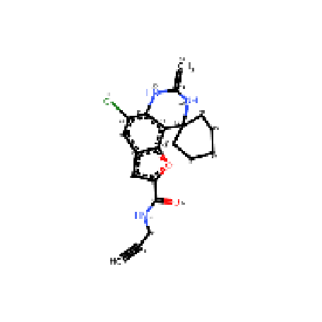 C#CCNC(=O)c1cc2cc(Cl)c3c(c2o1)C1(CCCCC1)NC(=C)N3